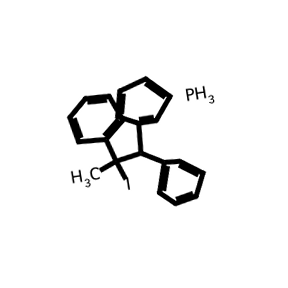 CC(I)(c1ccccc1)C(c1ccccc1)c1ccccc1.P